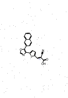 N#C/C(=C\c1ccc(-c2ncoc2-c2ccc3ccccc3c2)s1)C(=O)O